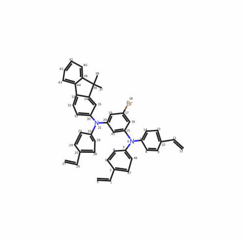 C=Cc1ccc(N(c2ccc(C=C)cc2)c2cc(Br)cc(N(c3ccc(C=C)cc3)c3ccc4c(c3)C(C)(C)c3ccccc3-4)c2)cc1